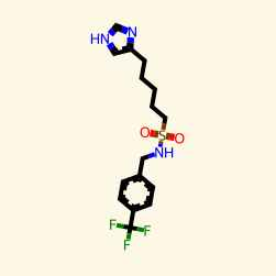 O=S(=O)(CCCCCc1c[nH]cn1)NCc1ccc(C(F)(F)F)cc1